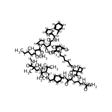 CC[C@H](C)[C@@H](CNC(=O)C(C)(C)CNC(=O)[C@H](CN(C)Cc1ccc(NC(=O)[C@H](CCCNC(N)=O)NC(=O)C2(C(=O)NCCCCCN3C(=O)C=CC3=O)CCC2)cc1)C(C)C)[C@@H](CC(=O)N1CCC[C@H]1[C@H](OC)[C@@H](C)C(=O)N[C@@H](Cc1ccccc1)c1nccs1)OC